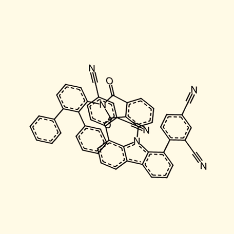 N#Cc1ccc(-c2cccc3c4cccc(-c5ccc(C#N)cc5C#N)c4n(-c4cccc5c4C(=O)N(c4cccc(-c6ccccc6)c4-c4ccccc4)C5=O)c23)c(C#N)c1